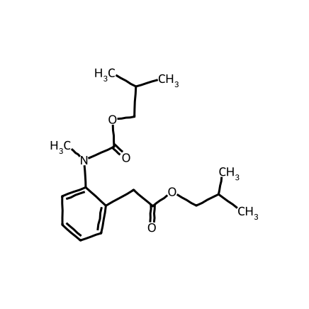 CC(C)COC(=O)Cc1ccccc1N(C)C(=O)OCC(C)C